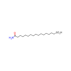 NC(=O)CCCCCCCCCCCCCCCS(=O)(=O)O